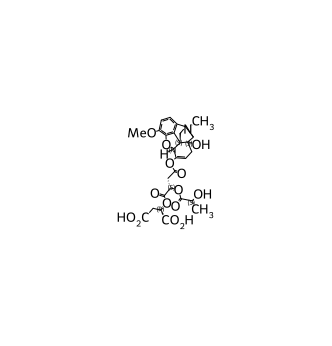 COc1ccc2c3c1O[C@H]1C(OC(=O)C[C@H](OC(=O)[C@H](C)O)C(=O)O[C@H](CC(=O)O)C(=O)O)=CC[C@@]4(O)C(C2)N(C)CC[C@]314